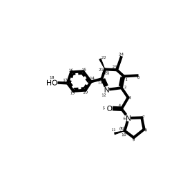 CC1=C(CC(=O)N2CCC[C@H]2C)N=C(c2ccc(O)cc2)[C@@H](C)C1C